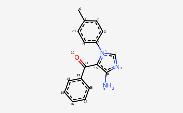 Cc1ccc(-n2cnc(N)c2C(=O)c2ccccc2)cc1